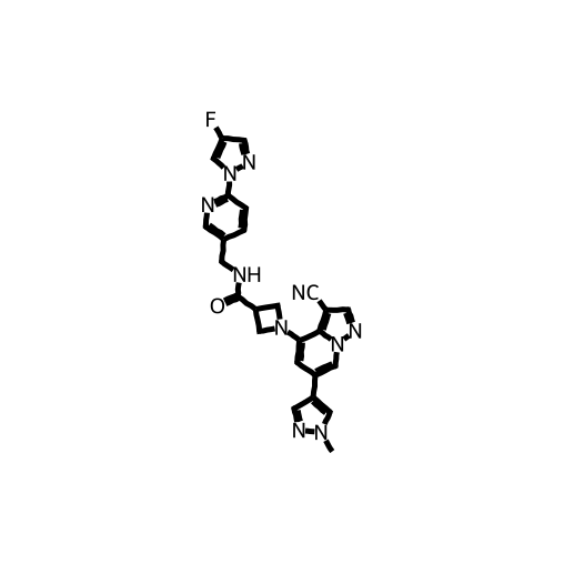 Cn1cc(-c2cc(N3CC(C(=O)NCc4ccc(-n5cc(F)cn5)nc4)C3)c3c(C#N)cnn3c2)cn1